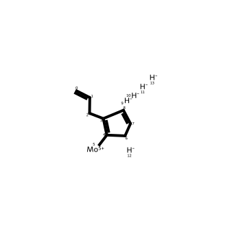 C=CCC1=[C]([Mo+5])CC=C1.[H-].[H-].[H-].[H-].[H-]